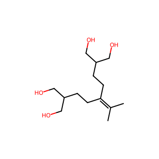 CC(C)=C(CCC(CO)CO)CCC(CO)CO